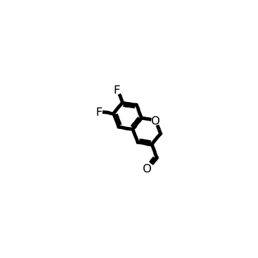 O=CC1=Cc2cc(F)c(F)cc2OC1